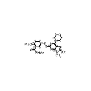 CCc1nc2c(N3CCOCC3)nc(SCc3ccc(OC)c(C(=O)NC(C)=O)c3)nc2n1C